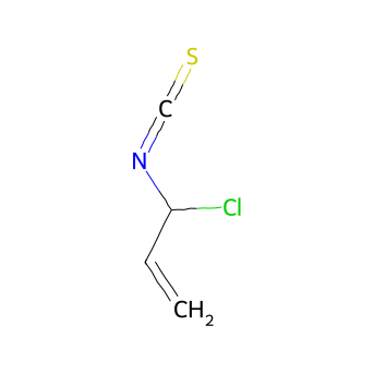 C=CC(Cl)N=C=S